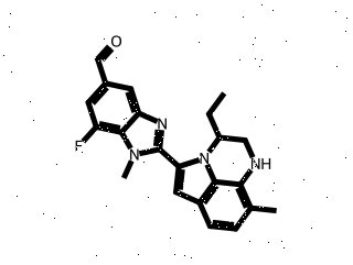 CCC1CNc2c(C)ccc3cc(-c4nc5cc(C=O)cc(F)c5n4C)n1c23